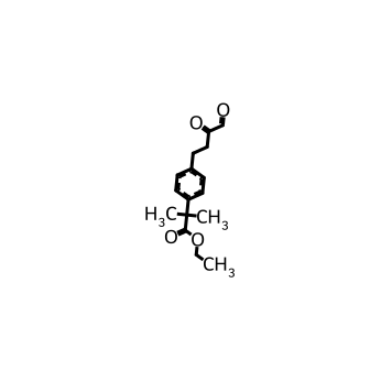 CCOC(=O)C(C)(C)c1ccc(CCC(=O)C=O)cc1